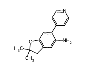 CC1(C)Cc2cc(N)c(-c3ccncc3)cc2O1